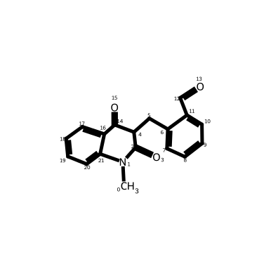 CN1C(=O)C(Cc2ccccc2C=O)C(=O)c2ccccc21